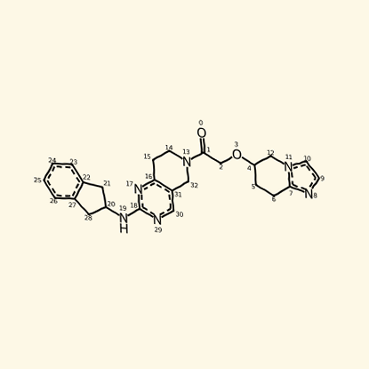 O=C(COC1CCc2nccn2C1)N1CCc2nc(NC3Cc4ccccc4C3)ncc2C1